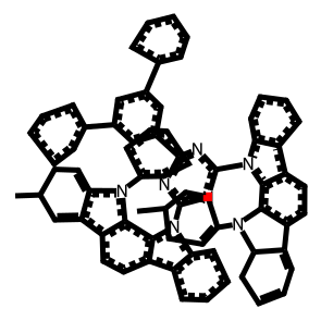 CC1C=CC(N2c3c(ccc4c5ccccc5n(-c5nc(-c6cc(-c7ccccc7)cc(-c7ccccc7)c6)nc(-n6c7ccccc7c7ccc8c9c(n(-c%10ccccc%10)c8c76)=CCC(C)C=9)n5)c34)C3=CC=CCC32)=CC1